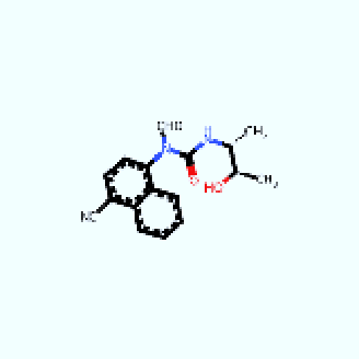 C[C@@H](O)[C@@H](C)NC(=O)N(C=O)c1ccc(C#N)c2ccccc12